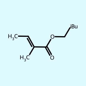 CC=C(C)C(=O)OCC(C)CC